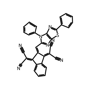 N#CC(C#N)=C1C(=Cc2nc3sc(-c4ccccc4)nc3n2-c2ccccc2)C(=C(C#N)C#N)c2ccccc21